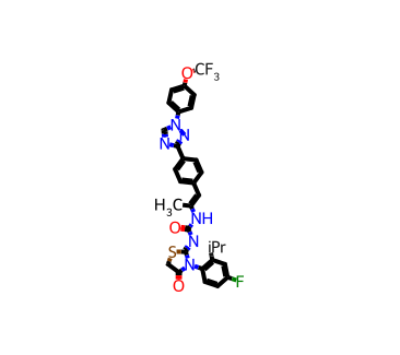 C/C(=C\c1ccc(-c2ncn(-c3ccc(OC(F)(F)F)cc3)n2)cc1)NC(=O)/N=C1\SCC(=O)N1c1ccc(F)cc1C(C)C